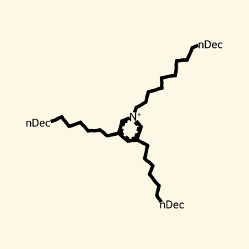 CCCCCCCCCCCCCCCCCCC[n+]1cc(CCCCCCCCCCCCCCCC)cc(CCCCCCCCCCCCCCCC)c1